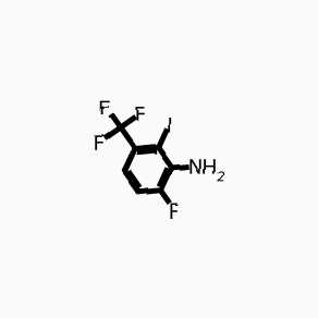 Nc1c(F)ccc(C(F)(F)F)c1I